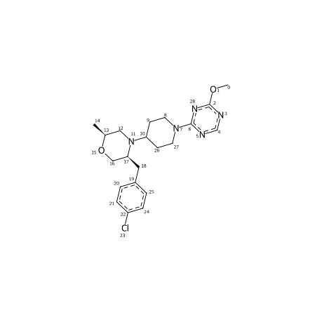 COc1ncnc(N2CCC(N3C[C@H](C)OC[C@@H]3Cc3ccc(Cl)cc3)CC2)n1